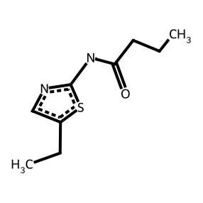 CCCC(=O)[N]c1ncc(CC)s1